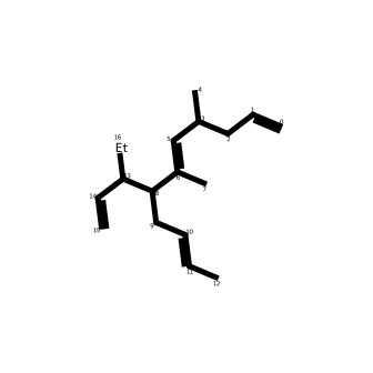 C=CCC(C)C=C(C)[C](CC=CC)C(C=C)CC